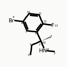 CC[C@](C)(NC)c1cc(Br)ccc1F